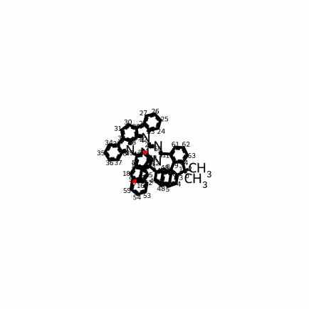 CC1(C)c2ccccc2-c2c(-c3nc(-c4ccccc4)nc(-n4c5ccccc5c5ccc6c7ccccc7n(-c7ccc(C8=CCCC=C8)c(-c8ccccc8)c7)c6c54)n3)cccc21